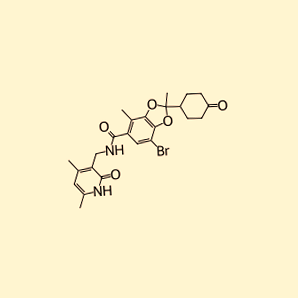 Cc1cc(C)c(CNC(=O)c2cc(Br)c3c(c2C)OC(C)(C2CCC(=O)CC2)O3)c(=O)[nH]1